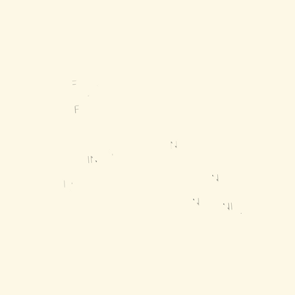 CCNSc1cc(C(F)(F)F)ccc1-c1ccc(-c2cnc(N)nc2)nc1